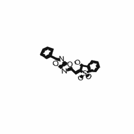 O=C1/C(=C\c2nc3oc(-c4ccccc4)nc3o2)S(=O)(=O)c2ccccc21